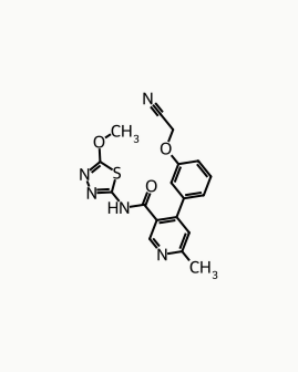 COc1nnc(NC(=O)c2cnc(C)cc2-c2cccc(OCC#N)c2)s1